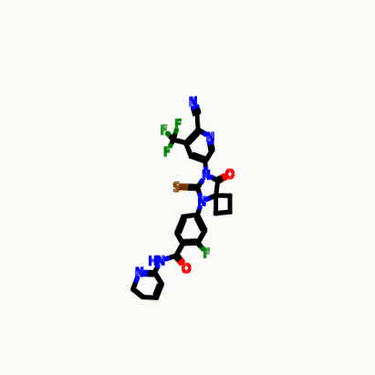 N#Cc1ncc(N2C(=O)C3(CCC3)N(c3ccc(C(=O)NC4=NCCC=C4)c(F)c3)C2=S)cc1C(F)(F)F